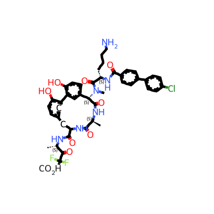 C[C@@H]1NC(=O)[C@@H](N(C)C(=O)[C@H](CCCCN)NC(=O)c2ccc(-c3ccc(Cl)cc3)cc2)c2ccc(O)c(c2)-c2cc(ccc2O)CC(C(=O)N[C@@H](C)C(=O)C(F)(F)C(=O)O)NC1=O